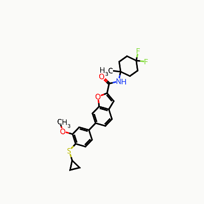 COc1cc(-c2ccc3cc(C(=O)NC4(C)CCC(F)(F)CC4)oc3c2)ccc1SC1CC1